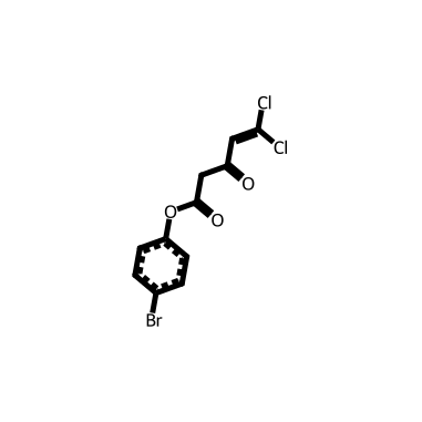 O=C(C=C(Cl)Cl)CC(=O)Oc1ccc(Br)cc1